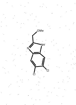 COCc1nc2cc(Cl)c(Cl)cc2[nH]1